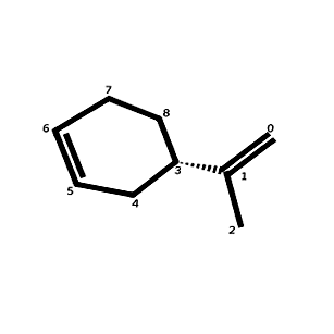 C=C(C)[C@@H]1CC=[C]CC1